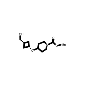 CC(C)(C)OC(=O)N1CCC(O[C@H]2C[C@H](CO)C2)CC1